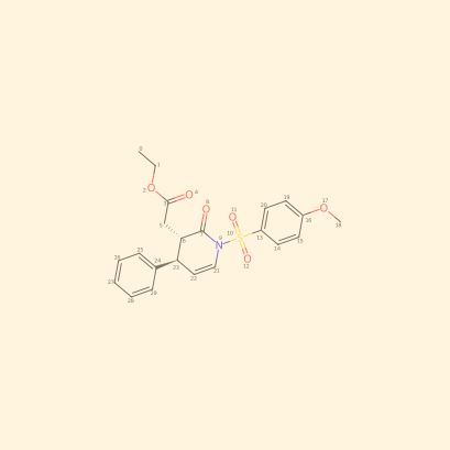 CCOC(=O)C[C@@H]1C(=O)N(S(=O)(=O)c2ccc(OC)cc2)C=C[C@H]1c1ccccc1